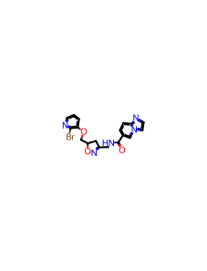 O=C(NCC1=NOC(COc2cccnc2Br)C1)c1ccc2nccn2c1